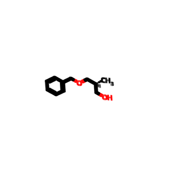 C[C@H](CO)COCc1ccccc1